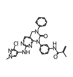 C=C(C)C(=O)Nc1cccc(N2C(=O)N(c3ccccc3)Cc3cnc(Nc4cn(C)nc4Cl)nc32)c1